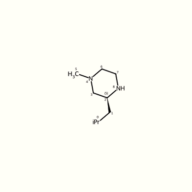 CC(C)C[C@H]1CN(C)CCN1